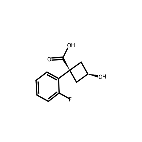 O=C(O)[C@]1(c2ccccc2F)C[C@H](O)C1